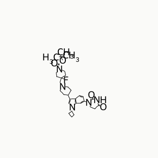 CC(C)(C)OC(=O)N1CCC(F)(CN2CCC(c3cn(C4CCC4)c4cc(N5CCC(=O)NC5=O)ccc34)CC2)CC1